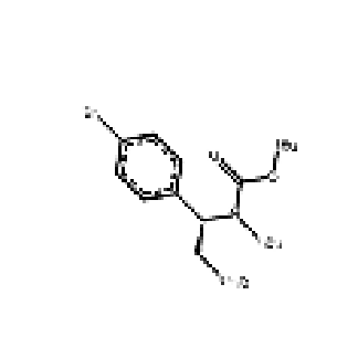 CCCCN(C(=O)OC(C)(C)C)[C@@H](CC=O)c1ccc(Br)cc1